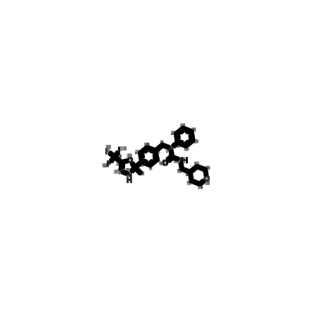 CC1(c2ccc(CN(C(=O)NCC3CCOCC3)c3ccccc3)cc2)NN=C(C(F)(F)F)O1